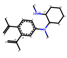 C=C(C)c1ccc(N(C)C2CCCCC2NC)cc1C(=C)C